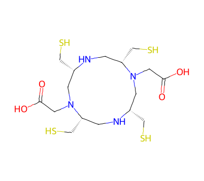 O=C(O)CN1C[C@H](CS)NC[C@H](CS)N(CC(=O)O)C[C@H](CS)NC[C@@H]1CS